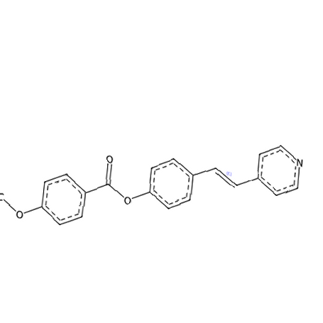 COc1ccc(C(=O)Oc2ccc(/C=C/c3ccncc3)cc2)cc1